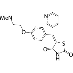 CNCCOc1ccc(C=C2SC(=O)NC2=O)cc1.c1ccncc1